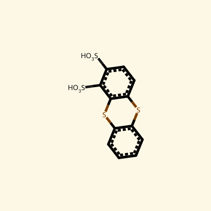 O=S(=O)(O)c1ccc2c(c1S(=O)(=O)O)Sc1ccccc1S2